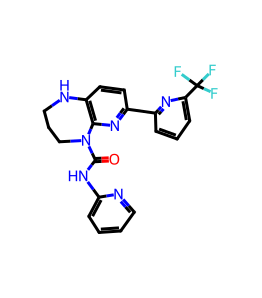 O=C(Nc1ccccn1)N1CCCNc2ccc(-c3cccc(C(F)(F)F)n3)nc21